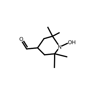 CC1(C)CC(C=O)CC(C)(C)N1O